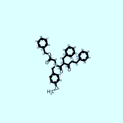 COc1ccc(CN(CC(=O)OCc2ccccc2)C(=O)C(Cc2ccccc2)C(=O)CCc2ccccc2)cc1